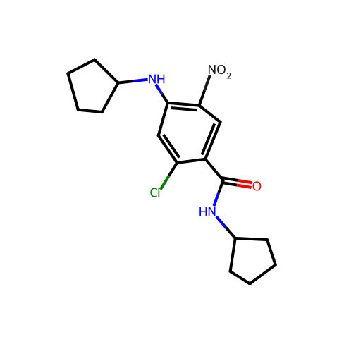 O=C(NC1CCCC1)c1cc([N+](=O)[O-])c(NC2CCCC2)cc1Cl